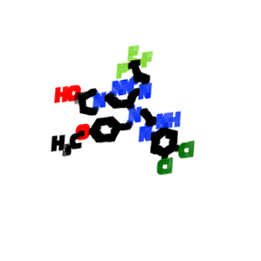 COc1ccc(CN(Cc2nc3cc(Cl)c(Cl)cc3[nH]2)c2cc(N3CC[C@H](O)C3)nn3c(C(F)(F)F)cnc23)cc1